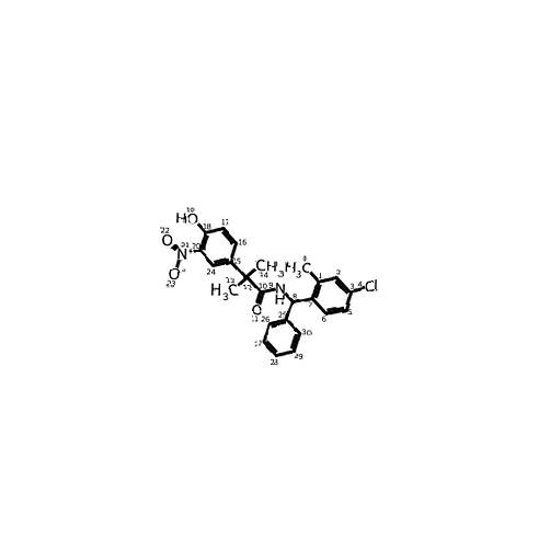 Cc1cc(Cl)ccc1C(NC(=O)C(C)(C)c1ccc(O)c([N+](=O)[O-])c1)c1ccccc1